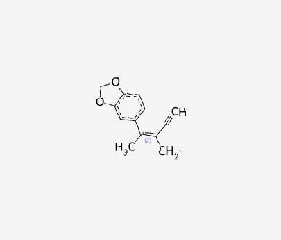 C#C/C([CH2])=C(/C)c1ccc2c(c1)OCO2